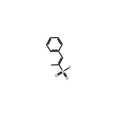 C/C(=C\c1ccccc1)S(=O)(=O)F